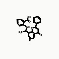 CC(Nc1ccccc1C(=O)O)c1cc(F)cc2c(=O)cc(-c3ccccc3)oc12